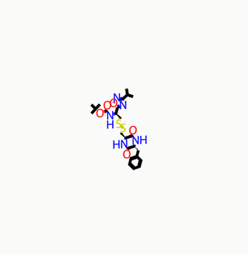 CC(C)c1noc([C@@H](CSSC[C@@H]2NC(=O)[C@@H](Cc3ccccc3)NC2=O)NC(=O)OC(C)(C)C)n1